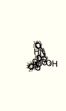 O=C(O)CC(CNCc1ccccc1)c1cccc(OS(=O)(=O)c2ccccc2)c1